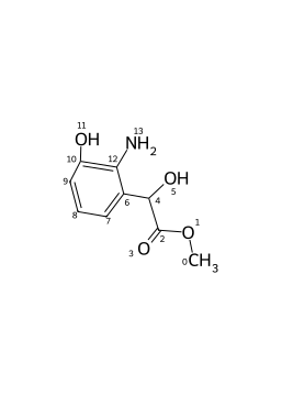 COC(=O)C(O)c1cccc(O)c1N